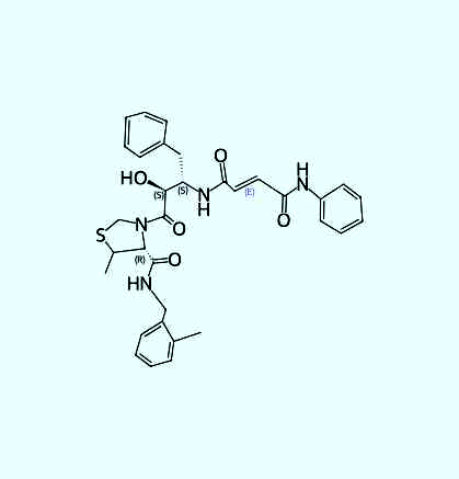 Cc1ccccc1CNC(=O)[C@@H]1C(C)SCN1C(=O)[C@@H](O)[C@H](Cc1ccccc1)NC(=O)/C=C/C(=O)Nc1ccccc1